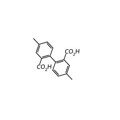 Cc1ccc(-c2ccc(C)cc2C(=O)O)c(C(=O)O)c1